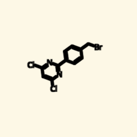 Clc1cc(Cl)nc(-c2ccc(CBr)cc2)n1